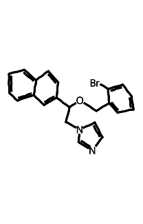 Brc1ccccc1COC(Cn1ccnc1)c1ccc2ccccc2c1